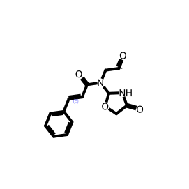 O=[C]CN(C(=O)/C=C/c1ccccc1)C1NC(=O)CO1